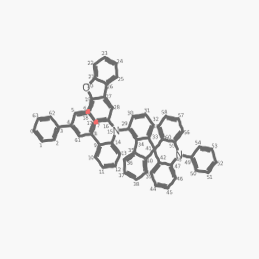 c1ccc(-c2cccc(-c3ccccc3N(c3ccc4oc5ccccc5c4c3)c3cccc4c3-c3ccccc3C43c4ccccc4N(c4ccccc4)c4ccccc43)c2)cc1